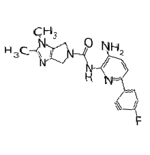 Cc1nc2c(n1C)CN(C(=O)Nc1nc(-c3c#cc(F)cc3)ccc1N)C2